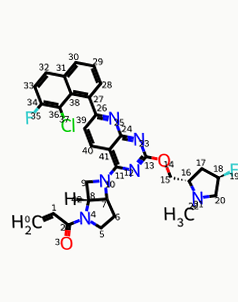 C=CC(=O)N1CCC2[C@H]1CN2c1nc(OC[C@@H]2C[C@@H](F)CN2C)nc2nc(-c3cccc4ccc(F)c(Cl)c34)ccc12